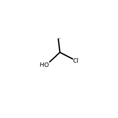 [CH2]C(O)Cl